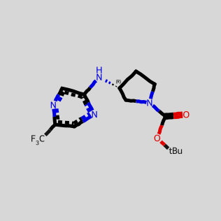 CC(C)(C)OC(=O)N1CC[C@@H](Nc2cnc(C(F)(F)F)cn2)C1